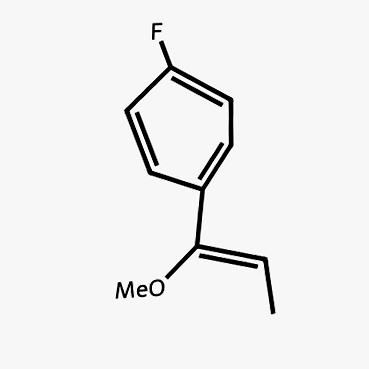 CC=C(OC)c1ccc(F)cc1